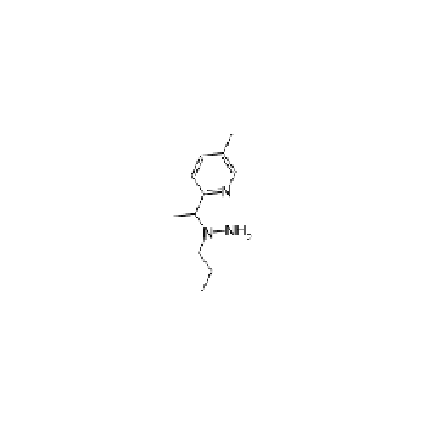 CCCN(N)C(C)c1ccc(C)cn1